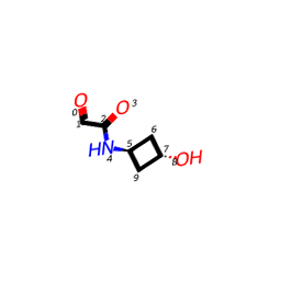 O=CC(=O)N[C@H]1C[C@H](O)C1